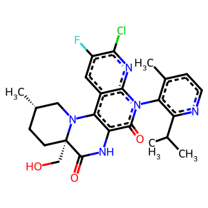 Cc1ccnc(C(C)C)c1-n1c(=O)c2c(c3cc(F)c(Cl)nc31)N1C[C@@H](C)CC[C@]1(CO)C(=O)N2